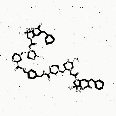 C[C@@H]1CN(CC(=O)N2CC(C)(C)c3[nH]c(=O)c(Cc4ccccc4)cc32)[C@@H](CN2CCO[C@H](C(=O)NCc3ccc(CNC(=O)[C@@H]4CN(C[C@H]5CN[C@H](C)CN5CC(=O)N5CC(C)(C)c6[nH]c(=O)c(Cc7ccccc7)cc65)CCO4)cc3)C2)CN1